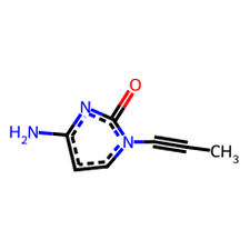 CC#Cn1ccc(N)nc1=O